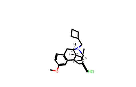 C=C1C[C@H](C)[C@H]2[C@H]3Cc4ccc(OC)cc4[C@@]2(CCN3CC2CCC2)C1.Cl